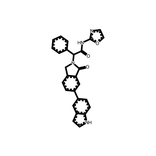 O=C(Nc1ncco1)C(c1ccccc1)N1Cc2ccc(-c3ccc4[nH]ccc4c3)cc2C1=O